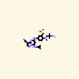 CN(CC(C)(C)N)c1ccc(Nc2cc(NC3CC3)n3ncc(C#N)c3n2)cc1C[S+](C)[O-]